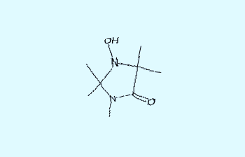 CN1C(=O)C(C)(C)N(O)C1(C)C